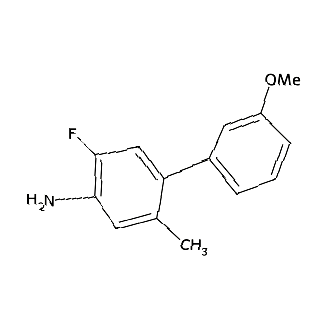 COc1cccc(-c2cc(F)c(N)cc2C)c1